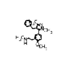 CNCCc1cc(-c2c(Cc3ccccc3)c(C)nn2C)ccc1OC